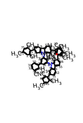 Cc1cc(C)c(-c2ccc3c4ccc(-c5c(C)cc(C)cc5C)cc4n(-c4cc(-c5cccc(C#N)c5)cc(-n5c6cc(-c7c(C)cc(C)cc7C)ccc6c6ccc(-c7c(C)cc(C)cc7C)cc65)c4C#N)c3c2)c(C)c1